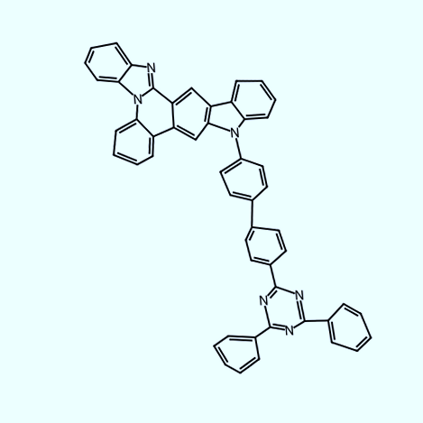 c1ccc(-c2nc(-c3ccccc3)nc(-c3ccc(-c4ccc(-n5c6ccccc6c6cc7c(cc65)c5ccccc5n5c6ccccc6nc75)cc4)cc3)n2)cc1